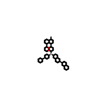 Cc1ccc(-c2ccc(N(c3ccc(-c4ccccc4)cc3)c3ccc4cc(-c5ccc6ccccc6c5)ccc4c3)cc2)c2c(-c3ccccc3)cccc12